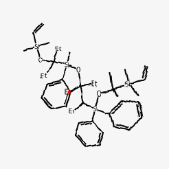 C=C[Si](C)(C)OC(CC)(CC)[Si](C)(OC(CC)(CC)C(CC)[Si](OC(C)(C)[Si](C)(C)C=C)(c1ccccc1)c1ccccc1)c1ccccc1